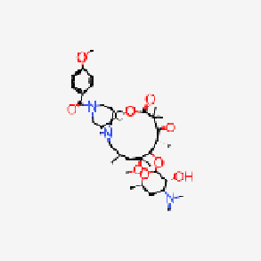 COc1ccc(C(=O)N2CCC3(CC2)COC(=O)C(C)(C)C(=O)[C@H](C)[C@@H](O[C@@H]2O[C@H](C)C[C@H](N(C)C)[C@H]2O)[C@](C)(OC)C[C@@H](C)CN3C)cc1